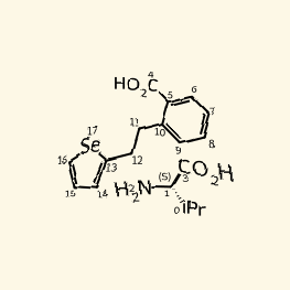 CC(C)[C@H](N)C(=O)O.O=C(O)c1ccccc1CCc1ccc[se]1